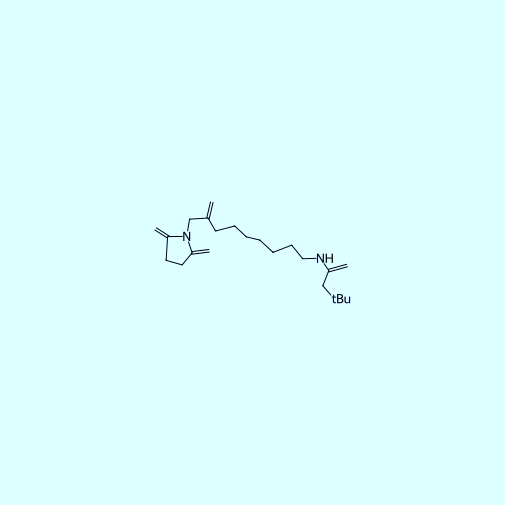 C=C(CCCCCCCNC(=C)CC(C)(C)C)CN1C(=C)CCC1=C